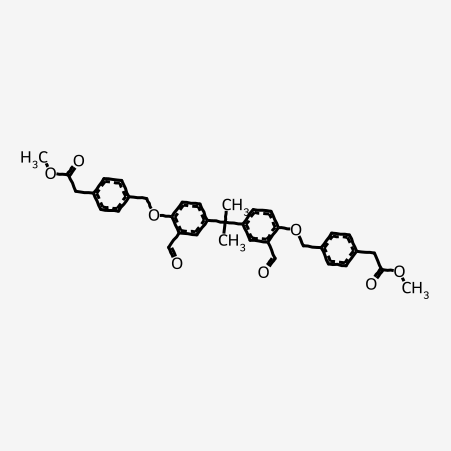 COC(=O)Cc1ccc(COc2ccc(C(C)(C)c3ccc(OCc4ccc(CC(=O)OC)cc4)c(C=O)c3)cc2C=O)cc1